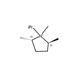 CC(C)[N+]1(C)[C@@H](C)CC[C@@H]1C